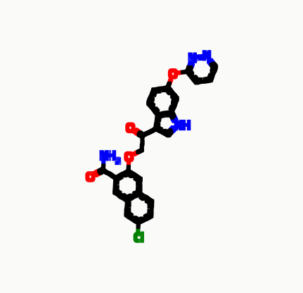 NC(=O)c1cc2cc(Cl)ccc2cc1OCC(=O)c1c[nH]c2cc(Oc3cccnn3)ccc12